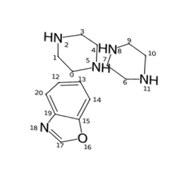 C1CNCCN1.C1CNCCN1.c1ccc2ocnc2c1